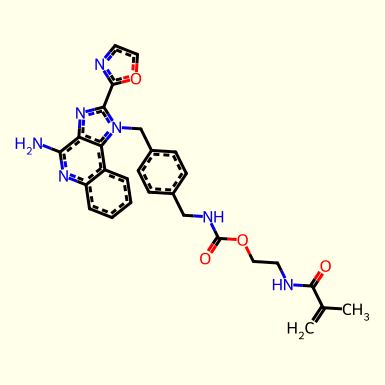 C=C(C)C(=O)NCCOC(=O)NCc1ccc(Cn2c(-c3ncco3)nc3c(N)nc4ccccc4c32)cc1